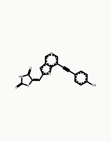 N#Cc1ccc(C#Cc2cncc3cc(/C=C4/SC(=S)NC4=O)oc23)cc1